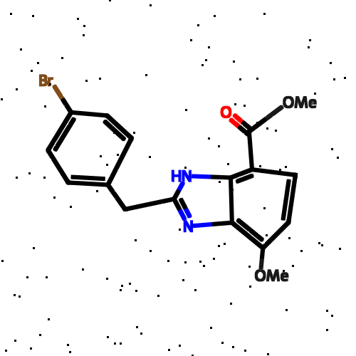 COC(=O)c1ccc(OC)c2nc(Cc3ccc(Br)cc3)[nH]c12